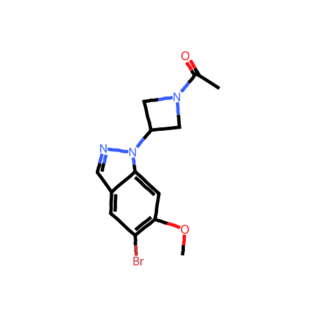 COc1cc2c(cnn2C2CN(C(C)=O)C2)cc1Br